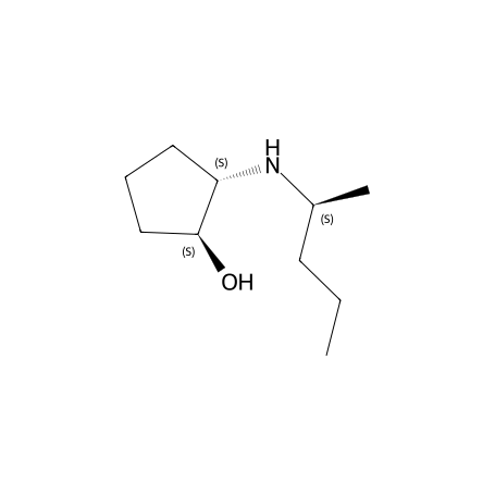 CCC[C@H](C)N[C@H]1CCC[C@@H]1O